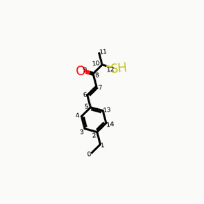 CCc1ccc(/C=C/C(=O)C(C)S)cc1